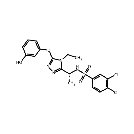 CCn1c(Oc2cccc(O)c2)nnc1[C@@H](C)NS(=O)(=O)c1ccc(Cl)c(Cl)c1